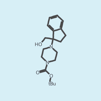 CC(C)(C)OC(=O)N1CCN(C2(CO)CCc3ccccc32)CC1